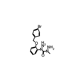 CN(N)C(=O)N(N)c1ccccc1OCc1ccc(Br)cc1